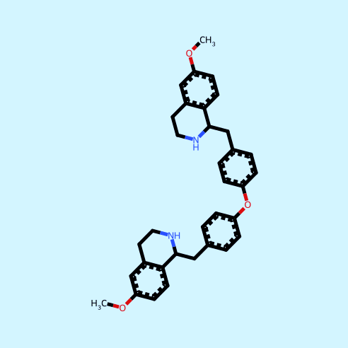 COc1ccc2c(c1)CCNC2Cc1ccc(Oc2ccc(CC3NCCc4cc(OC)ccc43)cc2)cc1